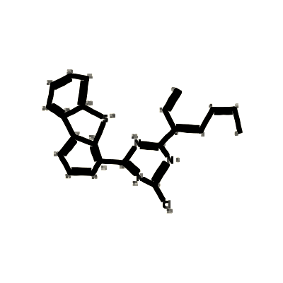 C=C/C(=C\C=C/C)c1nc(Cl)nc(-c2cccc3c2sc2ccccc23)n1